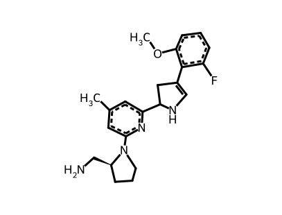 COc1cccc(F)c1C1=CNC(c2cc(C)cc(N3CCC[C@H]3CN)n2)C1